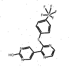 Oc1ncc(-c2nccnc2Sc2ccc(S(F)(F)(F)(F)F)cc2)cn1